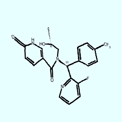 C[C@@H](O)CN(C(=O)c1ccc(=O)[nH]c1)[C@@H](c1ccc(C(F)(F)F)cc1)c1ncccc1F